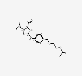 CC(C)OCCOCc1ccc(OC2CN(C(C)C)C(C=O)O2)cc1